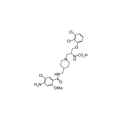 COc1cc(N)c(Cl)cc1C(=O)NCC1CCN(CC(COc2cccc(Cl)c2Cl)NC(=O)O)CC1